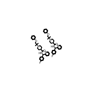 CC(C)(COc1ccccc1)N1CCC(C(=O)NC(c2ccc(F)cc2)c2ccccn2)CC1.CC(C)(COc1ccccc1)N1CCC(C(=O)NC(c2ccc(F)cc2)c2ccccn2)CC1